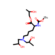 CC(O)COC(=O)C(CCCCN(CC(C)O)CC(C)O)NC(=O)OC(C)(C)C